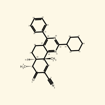 C[C@H]1C(=O)C(C#N)=C[C@@]2(C)c3nc(C4CCCCC4)nc(-c4ccccc4)c3CC[C@H]12